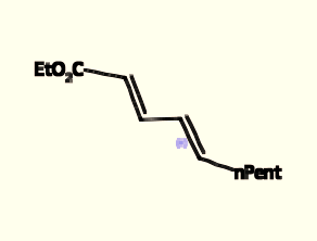 CCCCC/C=C/C=CC(=O)OCC